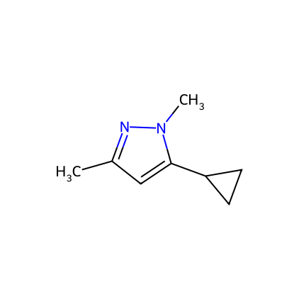 Cc1cc(C2CC2)n(C)n1